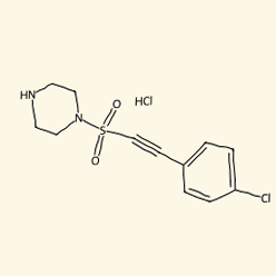 Cl.O=S(=O)(C#Cc1ccc(Cl)cc1)N1CCNCC1